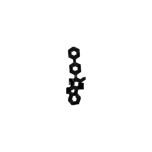 Cc1nc2c(nc1-c1ccc(-c3ccccc3)cc1)sc1ccccc12